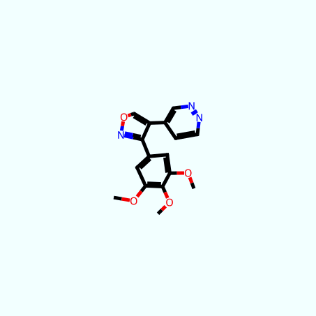 COc1cc(-c2nocc2-c2ccnnc2)cc(OC)c1OC